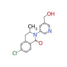 CC1Cc2cc(Cl)ccc2C(=O)N1c1cncc(CO)c1